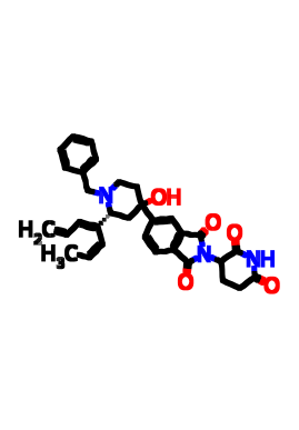 C=C/C=C(\C=C/C)[C@H]1CC(O)(c2ccc3c(c2)C(=O)N(C2CCC(=O)NC2=O)C3=O)CCN1Cc1ccccc1